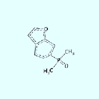 CP(C)(=O)c1ccc2ccoc2c1